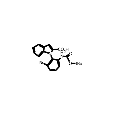 CC(C)(C)OC(=O)Nc1cccc(Br)c1-n1c(C(=O)O)cc2ccccc21